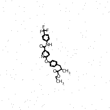 CCOC(=O)C(C)Cc1ccc(Oc2ccc(C(=O)Nc3ccc(C(F)(F)F)cc3)cn2)cc1